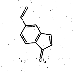 C=C1C=Cc2cc(C=O)ccc21